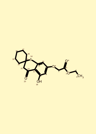 CCOC(=O)COc1cc(O)c2c(c1)SC1(CCCCC1)CC2=O